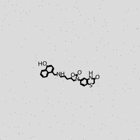 O=C1CSc2ccc(N3CC(CCCNCc4ccc(O)c5ccccc45)OC3=O)cc2N1